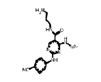 CCCNc1nc(Nc2ccc(C#N)cc2)ncc1C(=O)NCCCN